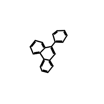 [c]1c(-c2ccccc2)c2ccccc2c2ccccc12